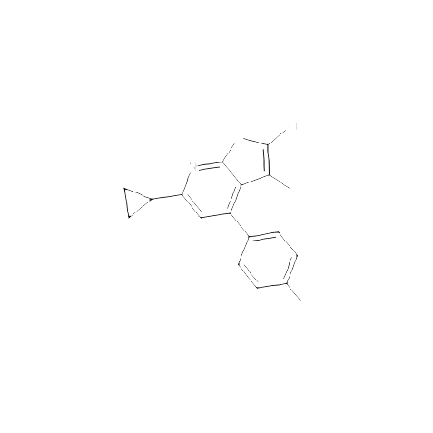 CCc1c(C)sc2nc(C3CC3)[c]c(-c3ccc(F)cc3)c12